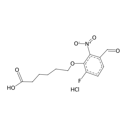 Cl.O=Cc1ccc(F)c(OCCCCCC(=O)O)c1[N+](=O)[O-]